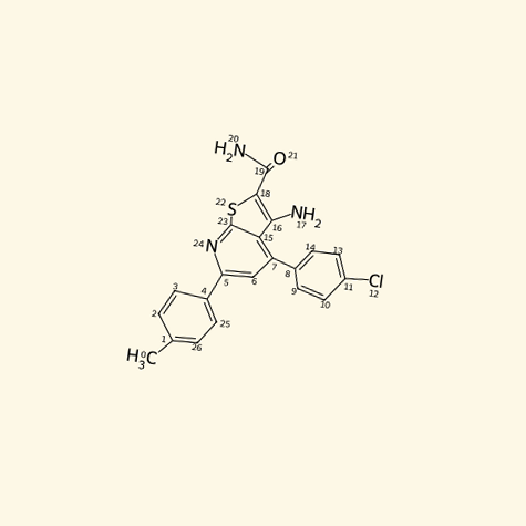 Cc1ccc(-c2cc(-c3ccc(Cl)cc3)c3c(N)c(C(N)=O)sc3n2)cc1